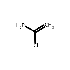 C=C(P)Cl